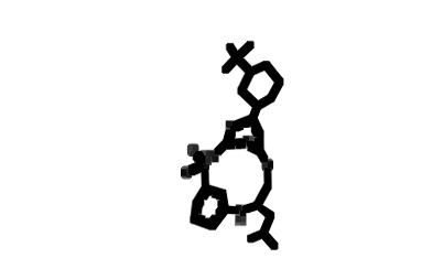 CC(C)C[C@@H]1COc2cc(C3CCCC(C(C)(C)C)C3)nc(n2)NS(=O)(=O)c2cccc(c2)N1